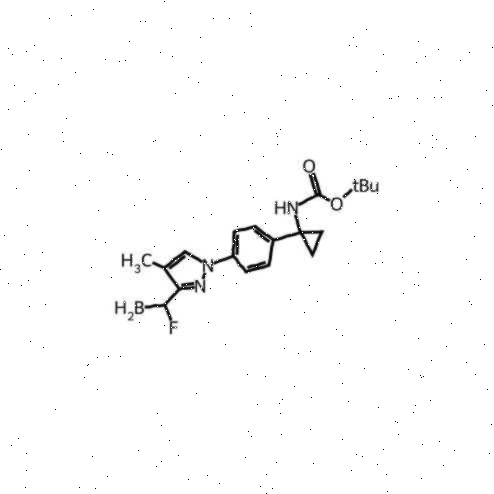 BC(F)c1nn(-c2ccc(C3(NC(=O)OC(C)(C)C)CC3)cc2)cc1C